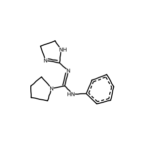 c1ccc(NC(=NC2=NCCN2)N2CCCC2)cc1